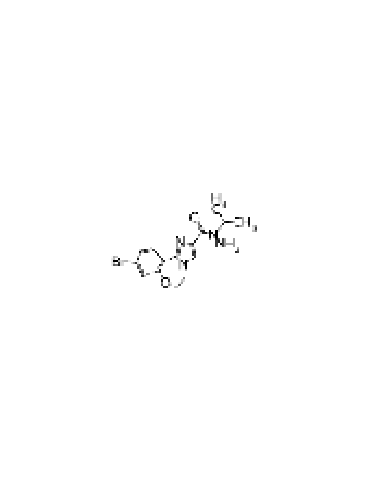 CC(C)N(N)C(=O)c1cn2c(n1)-c1ccc(Br)cc1OCC2